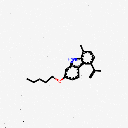 C=C(C)c1ccc(C)c2[nH]c3cc(OCCCCC)ccc3c12